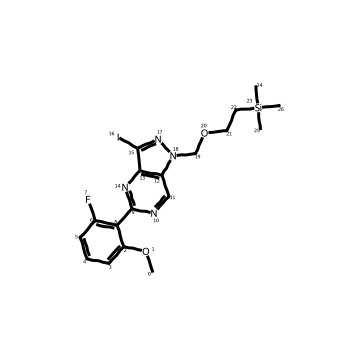 COc1cccc(F)c1-c1ncc2c(n1)c(I)nn2COCC[Si](C)(C)C